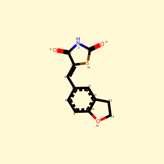 O=C1NC(=O)C(=Cc2ccc3c(c2)CCO3)S1